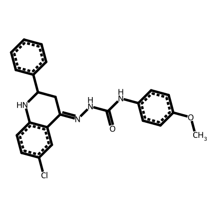 COc1ccc(NC(=O)NN=C2CC(c3ccccc3)Nc3ccc(Cl)cc32)cc1